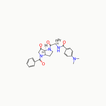 CCC[C@H](NC(=O)c1ccc(N(C)C)cc1)C(=O)N1CCC2[C@H]1C(=O)CN2C(=O)c1ccccc1